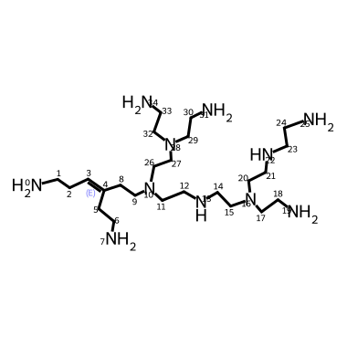 NCC/C=C(\CCN)CCN(CCNCCN(CCN)CCNCCN)CCN(CCN)CCN